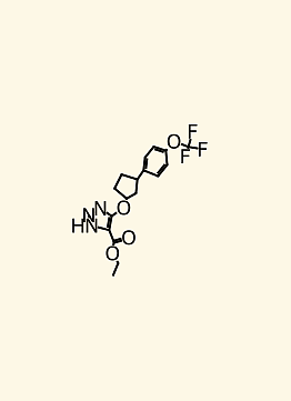 CCOC(=O)c1[nH]nnc1OC1CCC(c2ccc(OC(F)(F)F)cc2)C1